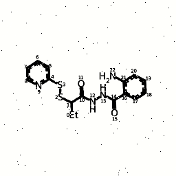 CCC(SSc1ccccn1)C(=O)NNC(=O)c1ccccc1N